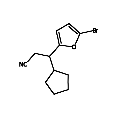 N#CCC(c1ccc(Br)o1)C1CCCC1